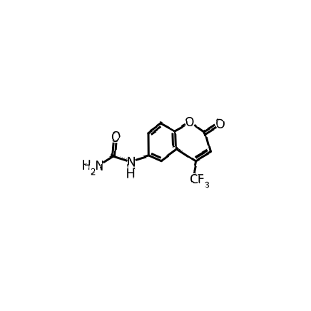 NC(=O)Nc1ccc2oc(=O)cc(C(F)(F)F)c2c1